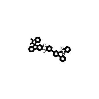 C/C=C(\C)C1(c2ccccc2)c2ccccc2-c2cc3c(cc21)Oc1ccc(-c2ccc4c5ccccc5n5c6ccccc6nc5c4c2)cc1O3